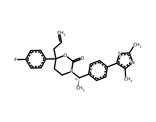 C=CCC1(c2ccc(F)cc2)CCN([C@@H](C)c2ccc(-c3sc(C)nc3C)cc2)C(=O)O1